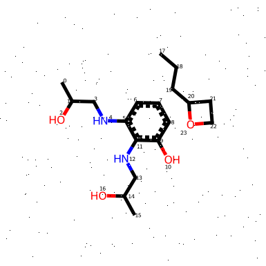 CC(O)CNc1cccc(O)c1NCC(C)O.CCCC1CCO1